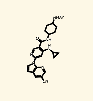 CC(=O)NC1CCC(NC(=O)c2cnc(-n3ccc4cc(C#N)cnc43)cc2NC2CC2)CC1